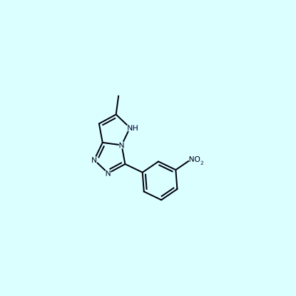 Cc1cc2nnc(-c3cccc([N+](=O)[O-])c3)n2[nH]1